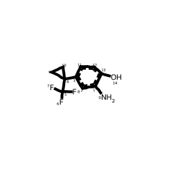 Nc1cc(C2(C(F)(F)F)CC2)ccc1O